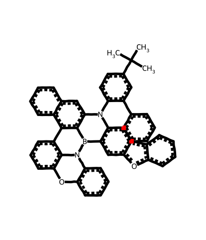 CC(C)(C)c1ccc(N2c3cc4c(cc3B3c5c2cc2ccccc2c5-c2cccc5c2N3c2ccccc2O5)oc2ccccc24)c(-c2ccccc2)c1